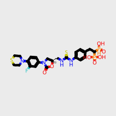 O=C1O[C@@H](CNC(=S)Nc2ccc(CC([PH](=O)O)P(=O)(O)O)cc2)CN1c1ccc(N2CCSCC2)c(F)c1